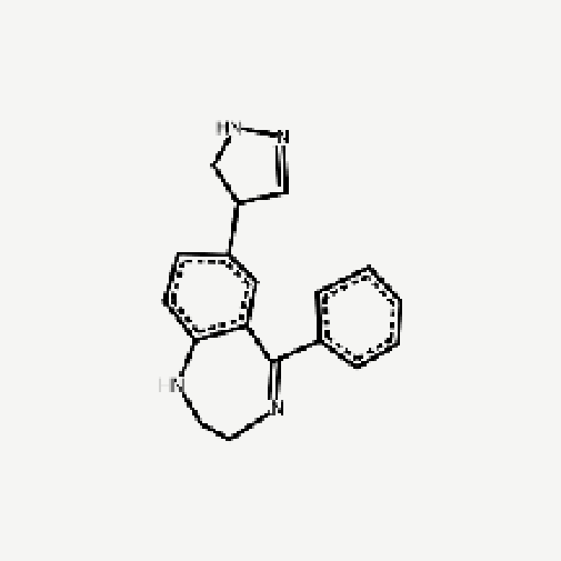 C1=NNCC1c1ccc2c(c1)C(c1ccccc1)=NCCN2